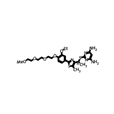 CCOc1cc(-c2nc([C@H](C)Sc3nc(N)cc(N)n3)c(C)s2)ccc1OCCOCCOCCOC